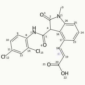 CN1C(=O)C(C(=O)Nc2ccc(Cl)cc2Cl)c2c(/C=C/C(=O)O)cccc21